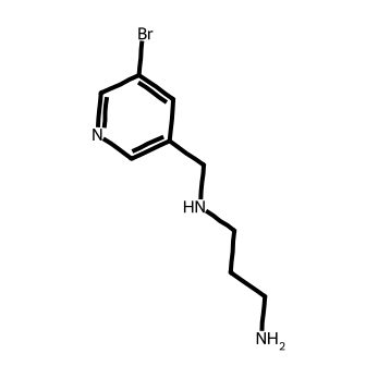 NCCCNCc1cncc(Br)c1